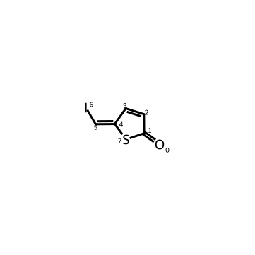 O=C1C=CC(=CI)S1